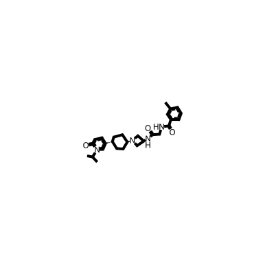 Cc1cccc(C(=O)NCC(=O)NC2CN([C@H]3CC[C@@H](c4ccc(=O)n(C(C)C)c4)CC3)C2)c1